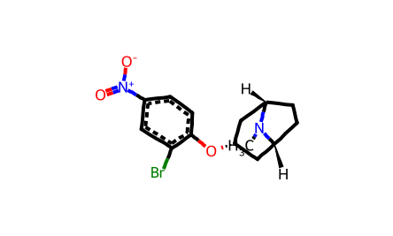 CN1[C@@H]2CC[C@H]1C[C@@H](Oc1ccc([N+](=O)[O-])cc1Br)C2